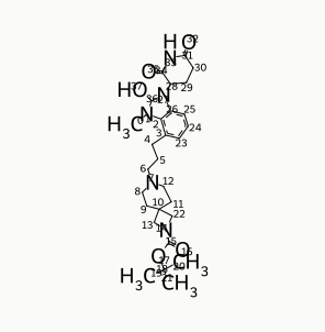 CN1c2c(CCCN3CCC4(CC3)CN(C(=O)OC(C)(C)C)C4)cccc2N(C2CCC(=O)NC2=O)C1O